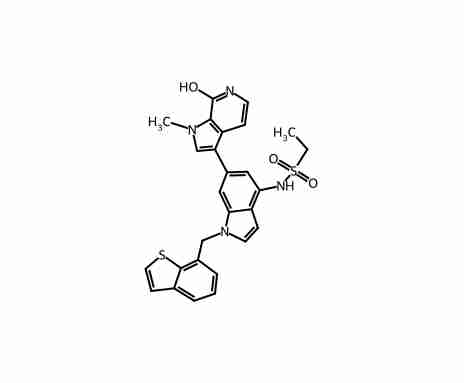 CCS(=O)(=O)Nc1cc(-c2cn(C)c3c(O)nccc23)cc2c1ccn2Cc1cccc2ccsc12